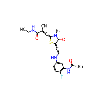 CCn1c(=C=C(C#N)C(=O)NCC#N)sc(=C=CNc2ccc(F)c(NC(=O)C(C)(C)C)c2)c1=O